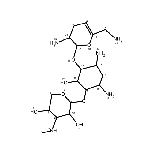 CNC1C(O)COC(OC2C(N)CC(N)C(OC3OC(CN)=CCC3N)C2O)C1O